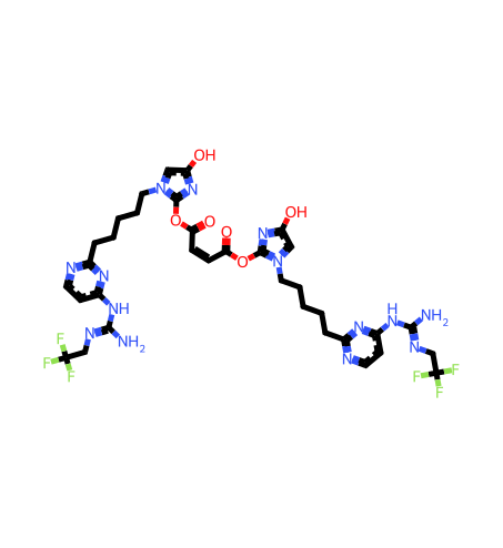 NC(=NCC(F)(F)F)Nc1ccnc(CCCCCn2cc(O)nc2OC(=O)/C=C\C(=O)Oc2nc(O)cn2CCCCCc2nccc(NC(N)=NCC(F)(F)F)n2)n1